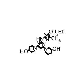 CCOC(=O)c1sc(Nc2nc(N3CCC(O)CC3)cc(N3CCCC(O)C3)n2)nc1C